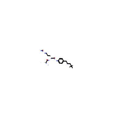 CC(C)[C@H](N)C(=O)N[C@@H](CCCNC(N)=O)C(=O)Nc1ccc(C[C@H](N)CC(C)(C)C(=O)O)cc1